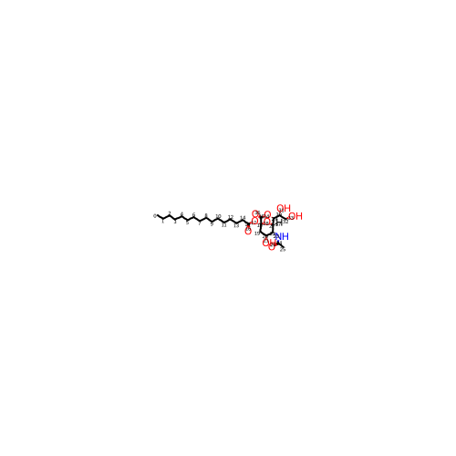 CCCCCCCCCCCCCCCC(=O)O[C@@]12C[C@H](O)[C@@H](NC(C)=O)[C@@H](O1)[C@@H]([C@H](O)CO)OC2=O